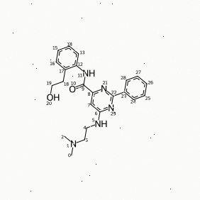 CN(C)CCNc1cc(C(=O)Nc2ccccc2CCO)nc(-c2ccccc2)n1